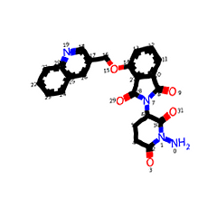 NN1C(=O)CCC(N2C(=O)c3cccc(OCc4cnc5ccccc5c4)c3C2=O)C1=O